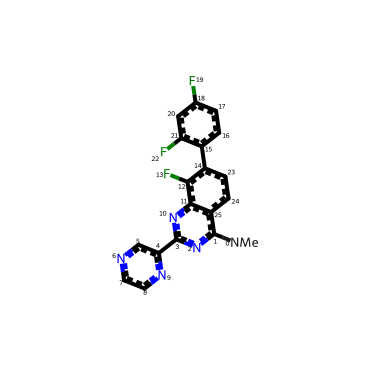 CNc1nc(-c2cnccn2)nc2c(F)c(-c3ccc(F)cc3F)ccc12